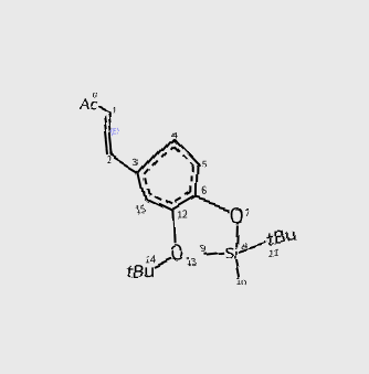 CC(=O)/C=C/c1ccc(O[Si](C)(C)C(C)(C)C)c(OC(C)(C)C)c1